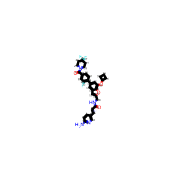 Nc1ccc(/C=C/C(=O)NCc2cc3cc(-c4ccc(C(=O)N5CCC(F)(F)CC5)cc4F)cc(OC4CCC4)c3o2)cn1